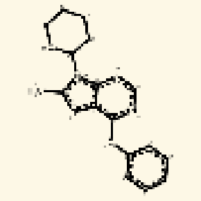 Cc1nc2c(Oc3ccccc3)ncnc2n1C1CCCCO1